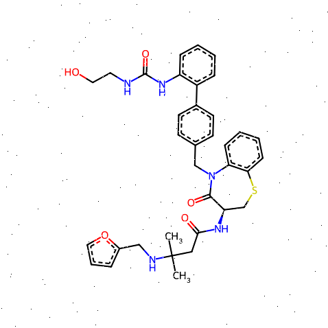 CC(C)(CC(=O)N[C@@H]1CSc2ccccc2N(Cc2ccc(-c3ccccc3NC(=O)NCCO)cc2)C1=O)NCc1ccco1